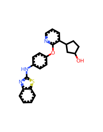 OC1CCC(c2cccnc2Oc2ccc(Nc3nc4ccccc4s3)cc2)C1